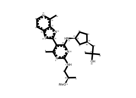 CO[C@H](C)CNc1nc(C)c(-c2nc3c(C)nccc3s2)c(N[C@H]2CC[C@@H](CC(C)(C)O)C2)n1